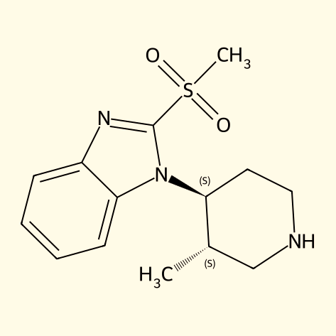 C[C@H]1CNCC[C@@H]1n1c(S(C)(=O)=O)nc2ccccc21